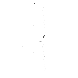 CCCCCCCCCCC#CC(CO)CCCCCCCCCC